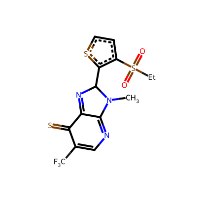 CCS(=O)(=O)c1ccsc1C1N=C2C(=S)C(C(F)(F)F)=CN=C2N1C